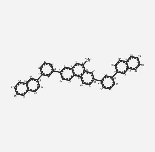 Brc1cc2cc(-c3cccc(-c4ccc5ccccc5c4)c3)ccc2c2ccc(-c3cccc(-c4ccc5ccccc5c4)c3)cc12